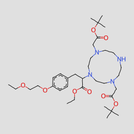 CCOCCOc1ccc(CC(C(=O)OCC)N2CCN(CC(=O)OC(C)(C)C)CCNCCN(CC(=O)OC(C)(C)C)CC2)cc1